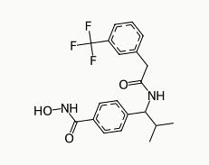 CC(C)C(NC(=O)Cc1cccc(C(F)(F)F)c1)c1ccc(C(=O)NO)cc1